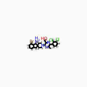 Cc1nc(N2CCC3(CC2)Cc2cccc(Br)c2[C@H]3N)c(CO)nc1-c1cccc(Cl)c1Cl